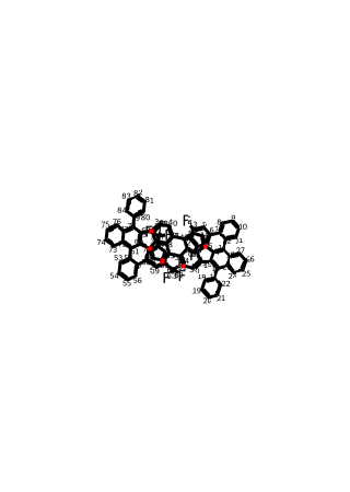 Fc1cc(F)cc(-c2ccccc2-c2c3c(c(-c4ccccc4)c4ccccc24)-c2ccc4c5ccc6c7c(ccc(c8ccc-3c2c84)c75)-c2c-6c(-c3ccccc3-c3cc(C(F)(F)F)cc(C(F)(F)F)c3)c3ccccc3c2-c2ccccc2)c1